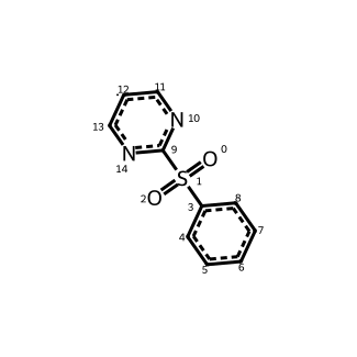 O=S(=O)(c1ccccc1)c1nc[c]cn1